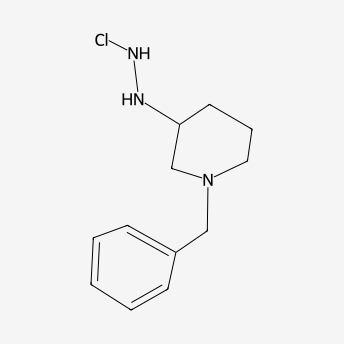 ClNNC1CCCN(Cc2ccccc2)C1